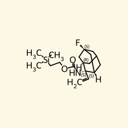 C=C[C@@]1(NC(=O)OCC[Si](C)(C)C)[C@@H]2CC3C[C@H]1C[C@@](F)(C3)C2